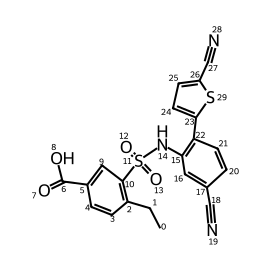 CCc1ccc(C(=O)O)cc1S(=O)(=O)Nc1cc(C#N)ccc1-c1ccc(C#N)s1